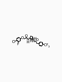 O=C(Cc1ccc(C(F)(F)F)cc1)N[C@H]1CC2(NC(=O)COc3ccc(Cl)c(F)c3)CC1C2